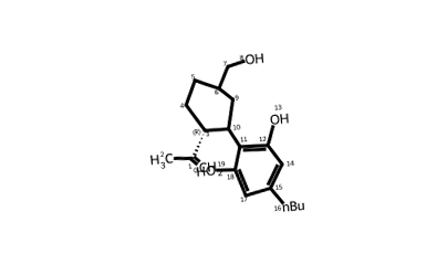 C=C(C)[C@@H]1CCC(CO)CC1c1c(O)cc(CCCC)cc1O